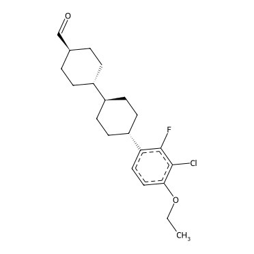 CCOc1ccc([C@H]2CC[C@H]([C@H]3CC[C@H](C=O)CC3)CC2)c(F)c1Cl